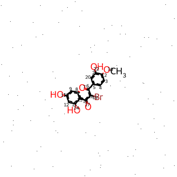 COc1ccc(-c2oc3cc(O)cc(O)c3c(=O)c2Br)cc1O